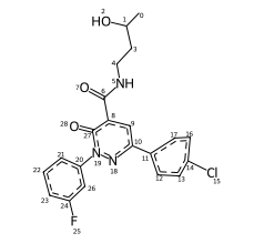 CC(O)CCNC(=O)c1cc(-c2ccc(Cl)cc2)nn(-c2cccc(F)c2)c1=O